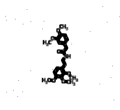 COc1ccc(CC(=O)NCCc2ccc(OC)c(OC)c2OC)cc1OC